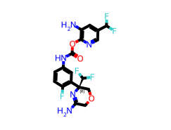 NC1=N[C@@](c2cc(NC(=O)Oc3ncc(C(F)F)cc3N)ccc2F)(C(F)F)COC1